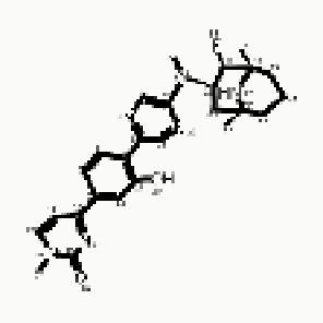 CN(c1cnc(-c2ccc(-c3ccn(C)c(=O)n3)cc2O)cn1)[C@@H]1C[C@@]2(C)CCC[C@](C)(N2)[C@@H]1F